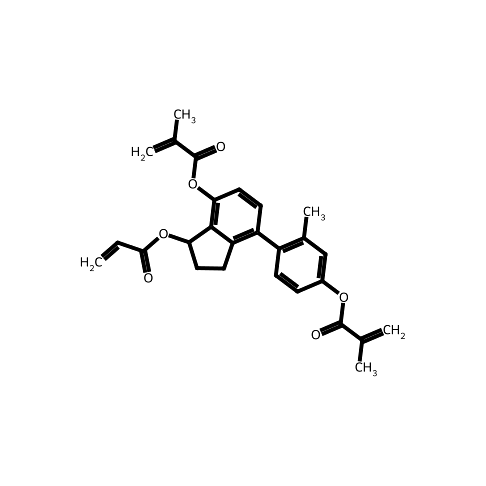 C=CC(=O)OC1CCc2c(-c3ccc(OC(=O)C(=C)C)cc3C)ccc(OC(=O)C(=C)C)c21